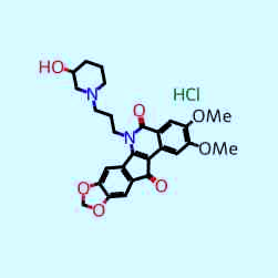 COc1cc2c3c(n(CCCN4CCCC(O)C4)c(=O)c2cc1OC)-c1cc2c(cc1C3=O)OCO2.Cl